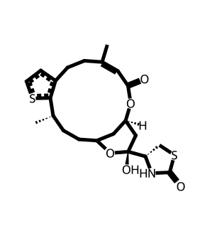 C/C1=C/C(=O)O[C@@H]2CC(CC[C@H](C)c3sccc3CC1)O[C@@](O)([C@@H]1CSC(=O)N1)C2